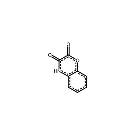 O=c1[nH]c2ccccc2oc1=O